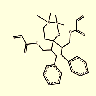 C=CC(=O)OCC(Cc1ccccc1)C1(C(COC(=O)C=C)Cc2ccccc2)CC[Si](C)(C)[Si](C)(C)O1